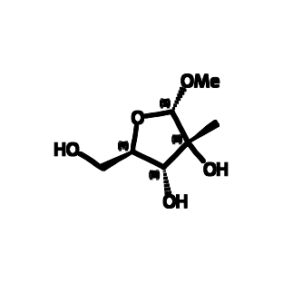 CO[C@H]1O[C@H](CO)[C@@H](O)[C@@]1(C)O